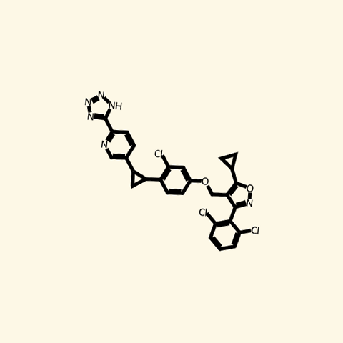 Clc1cc(OCc2c(-c3c(Cl)cccc3Cl)noc2C2CC2)ccc1C1CC1c1ccc(-c2nnn[nH]2)nc1